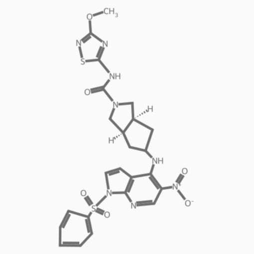 COc1nsc(NC(=O)N2C[C@H]3CC(Nc4c([N+](=O)[O-])cnc5c4ccn5S(=O)(=O)c4ccccc4)C[C@H]3C2)n1